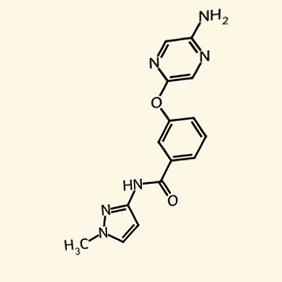 Cn1ccc(NC(=O)c2cccc(Oc3cnc(N)cn3)c2)n1